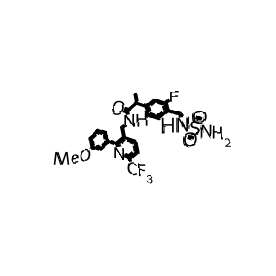 COc1cccc(-c2nc(C(F)(F)F)ccc2CNC(=O)C(C)c2ccc(CNS(N)(=O)=O)c(F)c2)c1